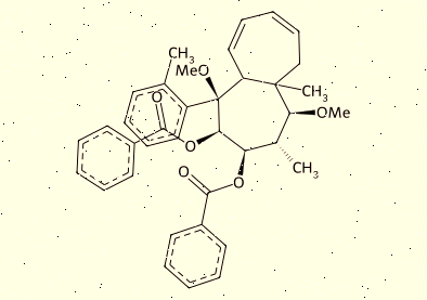 CO[C@H]1[C@H](C)[C@@H](OC(=O)c2ccccc2)[C@@H](OC(=O)c2ccccc2)[C@](OC)(c2ccccc2C)C2C=CC=CCC21C